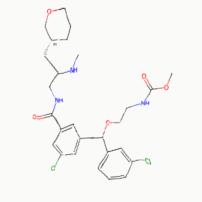 CNC(CNC(=O)c1cc(Cl)cc(C(OCCNC(=O)OC)c2cccc(Cl)c2)c1)C[C@H]1CCCOC1